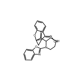 O=C(C1CNCCN1c1nc2ccccc2o1)C12CC1C(=NO)c1ccccc1O2